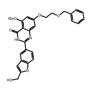 COc1cc(OCCOCc2ccccc2)cc2nc(-c3ccc4oc(CO)cc4c3)[nH]c(=O)c12